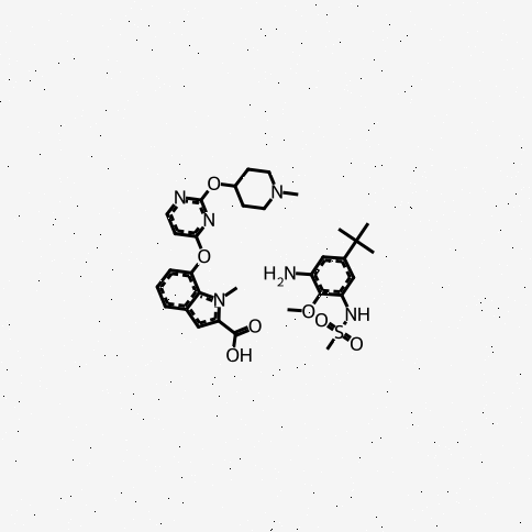 CN1CCC(Oc2nccc(Oc3cccc4cc(C(=O)O)n(C)c34)n2)CC1.COc1c(N)cc(C(C)(C)C)cc1NS(C)(=O)=O